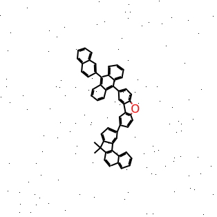 CC1(C)c2ccc(-c3ccc4oc5ccc(-c6c7ccccc7c(-c7ccc8ccccc8c7)c7ccccc67)cc5c4c3)cc2-c2c1ccc1ccccc21